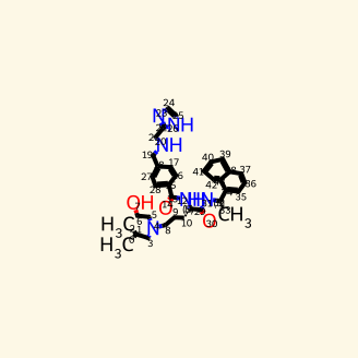 CC(C)CN(CCO)CCC[C@H](NC(=O)c1ccc(CNCc2ncc[nH]2)cc1)C(=O)N[C@@H](C)c1cccc2ccccc12